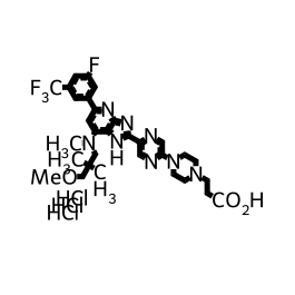 COCC(C)(C)CN(C)c1cc(-c2cc(F)cc(C(F)(F)F)c2)nc2nc(-c3cnc(N4CCN(CCC(=O)O)CC4)cn3)[nH]c12.Cl.Cl.Cl